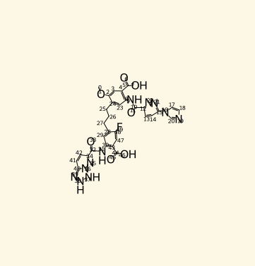 COc1cc(C(=O)O)c(NC(=O)c2ccc(-n3ccnc3)nn2)cc1CCCc1cc(NC(=O)C2=NN3NNN=C3C=C2)c(C(=O)O)cc1F